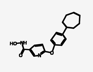 O=C(NO)c1ccc(Oc2ccc(C3CCCCCC3)cc2)nc1